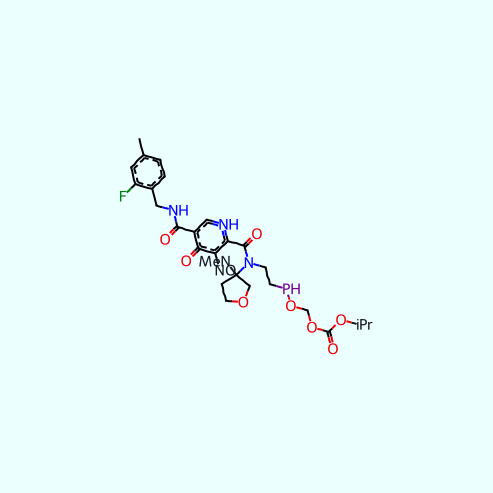 CNC1(N(CCPOCOC(=O)OC(C)C)C(=O)c2[nH]cc(C(=O)NCc3ccc(C)cc3F)c(=O)c2N=O)CCOC1